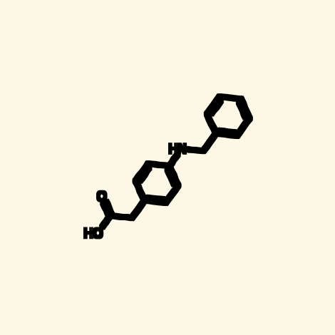 O=C(O)Cc1ccc(NCc2ccccc2)cc1